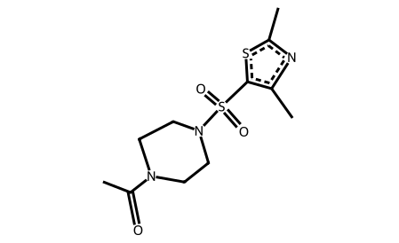 CC(=O)N1CCN(S(=O)(=O)c2sc(C)nc2C)CC1